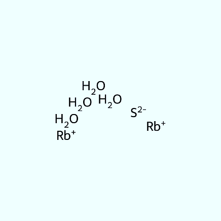 O.O.O.O.[Rb+].[Rb+].[S-2]